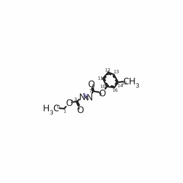 CCOC(=O)/N=N/C(=O)Oc1cccc(C)c1